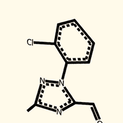 Cc1nc(C=O)n(-c2ccccc2Cl)n1